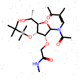 CNC(=O)CO[C@H]1C(N(/C=C(/C)C(C)=O)C(C)=O)O[C@H]([C@@H](C)O)[C@H]1O[Si](C)(C)C(C)(C)C